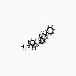 Nc1nccc(Sc2ccc3nc(N4CCCCCC4)cnc3n2)c1Cl